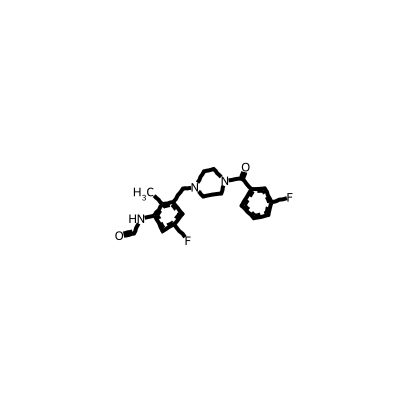 Cc1c(CN2CCN(C(=O)c3cccc(F)c3)CC2)cc(F)cc1NC=O